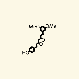 COc1cc(C=CC(=O)CC(=O)C=Cc2ccc(O)cc2)cc(OC)c1